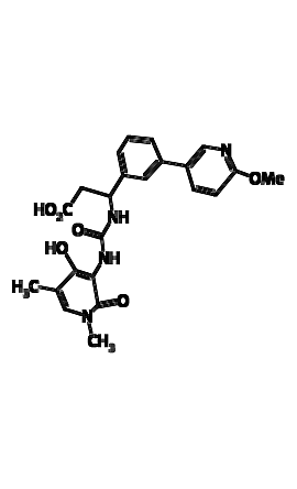 COc1ccc(-c2cccc(C(CC(=O)O)NC(=O)Nc3c(O)c(C)cn(C)c3=O)c2)cn1